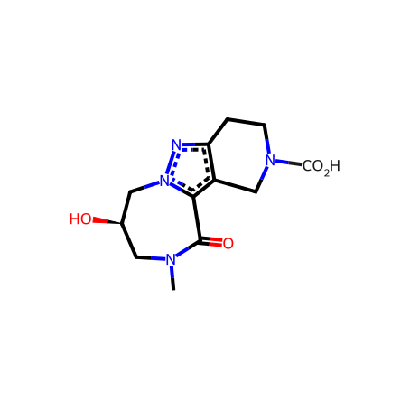 CN1C[C@@H](O)Cn2nc3c(c2C1=O)CN(C(=O)O)CC3